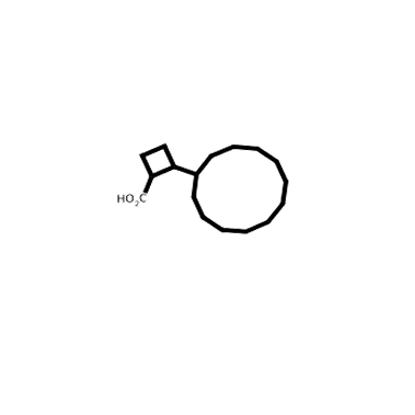 O=C(O)C1CCC1C1CCCCCCCCCCC1